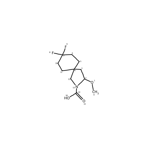 COC1CC2(CCC(F)(F)CC2)CN1C(=O)O